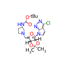 CC(C)(C)OC(=O)NC1CCN(C[C@H]2O[C@@H](n3ccc4c(Cl)ncnc43)[C@@H]3OC(C)(C)O[C@@H]32)C1